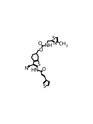 Cc1csc(CNC(=O)OCC2CCc3c(sc(NC(=O)C=Cc4ccsc4)c3C#N)C2)n1